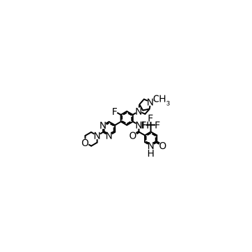 CN1CC2CC1CN2c1cc(F)c(-c2cnc(N3CCOCC3)nc2)cc1NC(=O)c1c[nH]c(=O)cc1C(F)(F)F